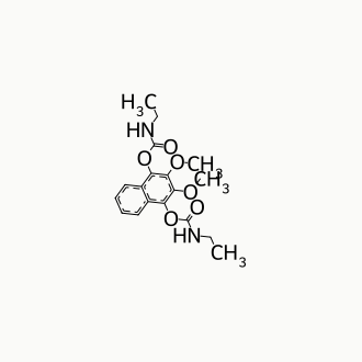 CCNC(=O)Oc1c(OC)c(OC)c(OC(=O)NCC)c2ccccc12